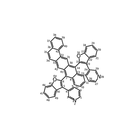 c1cncc(-c2c(-c3c4ccccc4c(-c4oc5ccccc5c4-c4cccnc4)c4cc5c(ccc6ccccc65)cc34)oc3ccccc23)c1